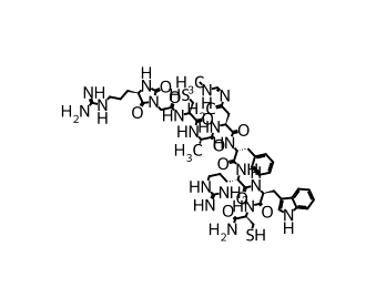 C=C(C[C@H](NC(=O)[C@@H](C)NC(=O)[C@H](CS)NC(=O)CN1C(=O)N[C@H](CCCNC(=N)N)C1=O)C(=O)N[C@H](Cc1ccccc1)C(=O)N[C@@H](CCCNC(=N)N)C(=O)N[C@@H](Cc1c[nH]c2ccccc12)C(=O)N[C@@H](CS)C(N)=O)/N=C\NC